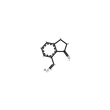 C=Cc1cccc2c1C(=O)CC2